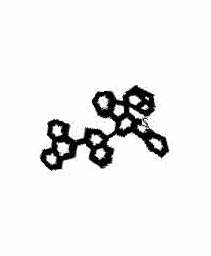 c1ccc2c(c1)-c1c(-c3ccc(-c4cc5ccccc5c5ccccc45)c4ccccc34)cc3c(sc4ccccc43)c1C21C2CC3CC(C2)CC1C3